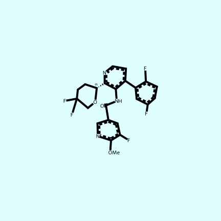 COc1ncc(C(=O)Nc2c(-c3cc(F)ccc3F)ccnc2[C@H]2CCC(F)(F)CO2)cc1F